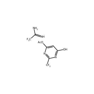 CC(=O)Oc1cc(O)nc(C(F)(F)F)n1.N=C(N)C(F)(F)F